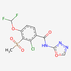 CS(=O)(=O)c1c(OC(F)F)ccc(C(=O)Nc2nnco2)c1Cl